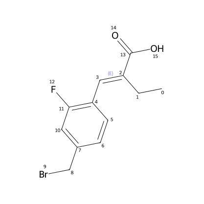 CC/C(=C\c1ccc(CBr)cc1F)C(=O)O